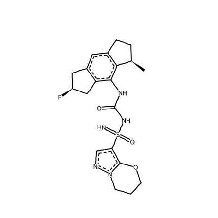 C[C@@H]1CCc2cc3c(c(NC(=O)NS(=N)(=O)c4cnn5c4OCCC5)c21)C[C@@H](F)C3